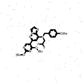 COc1ccc(CN(CC(F)F)c2cc(-c3cnc(OC(C)(C)C)nc3OC(C)(C)C)nn3ccnc23)cc1